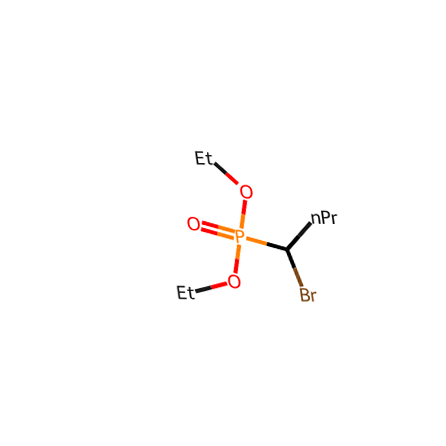 CCCC(Br)P(=O)(OCC)OCC